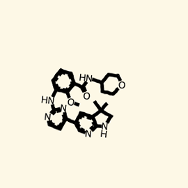 COc1c(Nc2nccc(-c3cnc4c(c3)C(C)(C)CN4)n2)cccc1C(=O)NC1CCOCC1